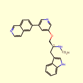 O=C(O)N[C@H](COc1cncc(-c2ccc3cnccc3c2)c1)Cc1c[nH]c2ccccc12